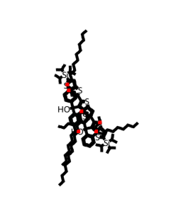 CCCCCCCCCCCCc1ccc(C(O)(c2ccc(CCCCCCCCCCCC)cc2)c2c(-c3cc4sc([Si](C(C)C)(C(C)C)C(C)C)cc4s3)sc3cc(-c4sc5cc([Si](C(C)C)(C(C)C)C(C)C)sc5c4C(O)(c4ccccc4C(CCC)CCCCCCCC)c4ccccc4C(CCC)CCCCCCCC)sc23)cc1